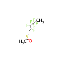 CC(=O)SCCC(F)C(F)C(F)(F)C(C)(F)F